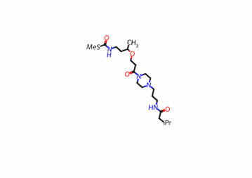 CSC(=O)NCCC(C)OCCC(=O)N1CCN(CCCNC(=O)CC(C)C)CC1